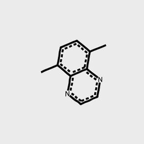 Cc1ccc(C)c2nccnc12